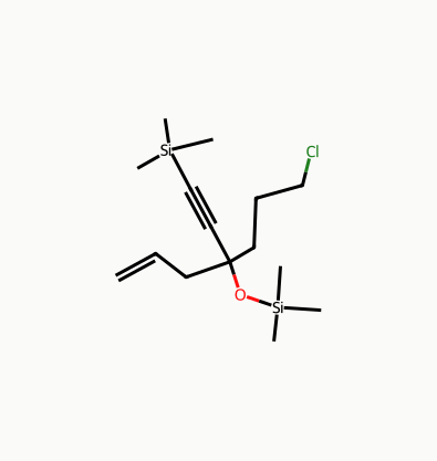 C=CCC(C#C[Si](C)(C)C)(CCCCl)O[Si](C)(C)C